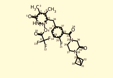 Cc1c(C)c(=O)[nH][n+](OC(=O)C(F)(F)F)c1Cc1ccc(F)c(C(=O)N2CCN(C34CC(C3)C4)C(=O)C2)c1